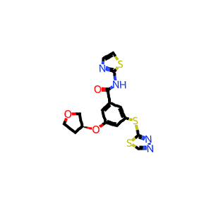 O=C(Nc1nccs1)c1cc(O[C@H]2CCOC2)cc(Sc2nncs2)c1